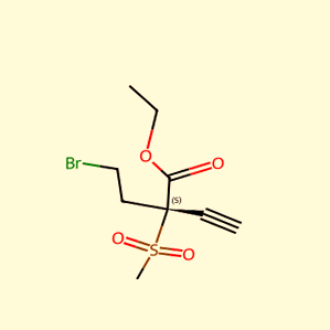 C#C[C@@](CCBr)(C(=O)OCC)S(C)(=O)=O